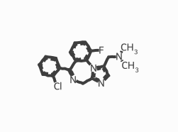 CN(C)Cc1cnc2n1-c1c(F)cccc1C(c1ccccc1Cl)=NC2